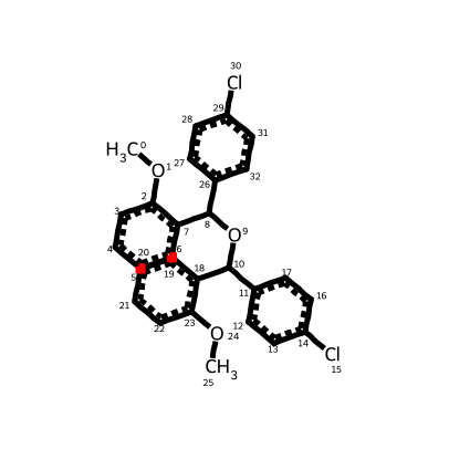 COc1ccccc1C(OC(c1ccc(Cl)cc1)c1ccccc1OC)c1ccc(Cl)cc1